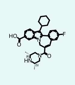 C[C@@H]1CN(C(=O)C2=Cc3cc(F)ccc3-c3c(C4CCCCC4)c4ccc(C(=O)O)cc4n3C2)C[C@H](C)N1